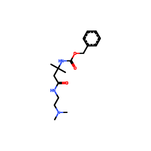 CN(C)CCNC(=O)CC(C)(C)NC(=O)OCc1ccccc1